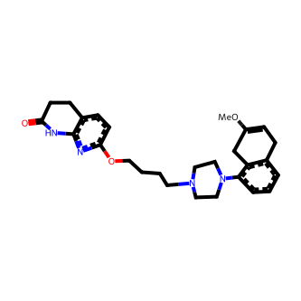 COC1=CCc2cccc(N3CCN(CCCCOc4ccc5c(n4)NC(=O)CC5)CC3)c2C1